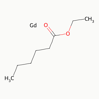 CCCCCC(=O)OCC.[Gd]